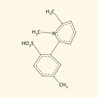 Cc1ccc(S(=O)(=O)O)c(-c2cccc(C)[n+]2C)c1